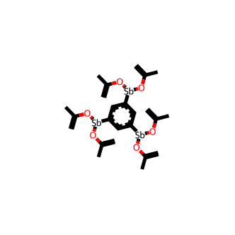 C=C(C)[O][Sb]([O]C(=C)C)[c]1c[c]([Sb]([O]C(=C)C)[O]C(=C)C)c[c]([Sb]([O]C(=C)C)[O]C(=C)C)c1